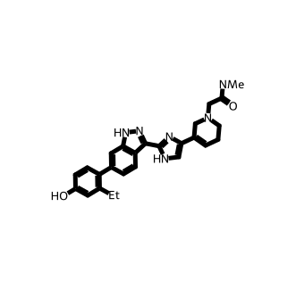 CCc1cc(O)ccc1-c1ccc2c(-c3nc(C4=CCCN(CC(=O)NC)C4)c[nH]3)n[nH]c2c1